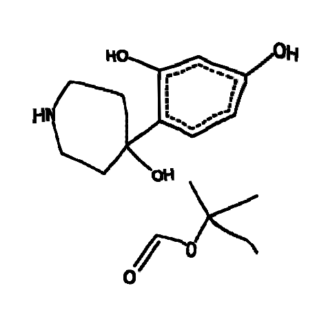 CC(C)(C)OC=O.Oc1ccc(C2(O)CCNCC2)c(O)c1